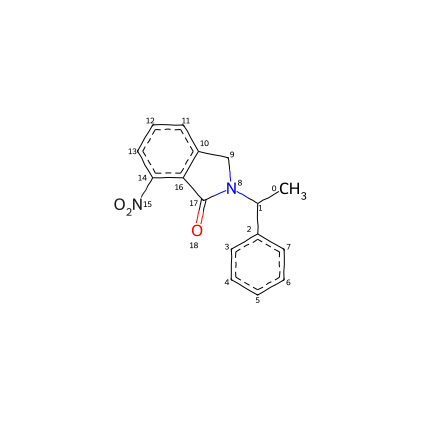 CC(c1ccccc1)N1Cc2cccc([N+](=O)[O-])c2C1=O